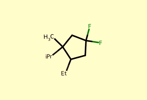 CCC1CC(F)(F)CC1(C)C(C)C